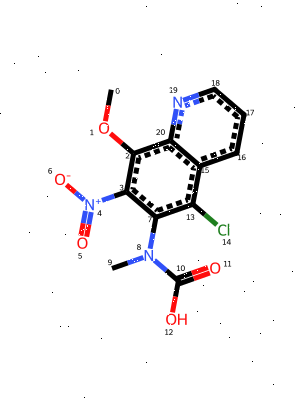 COc1c([N+](=O)[O-])c(N(C)C(=O)O)c(Cl)c2cccnc12